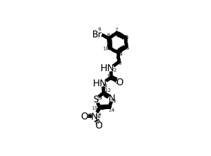 O=C(NCc1cccc(Br)c1)Nc1ncc([N+](=O)[O-])s1